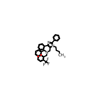 CCCCn1c(-c2ccccc2)nc(-c2ccccc2)c1CN(Cc1ccccc1)Cc1ccccc1C(F)(F)F